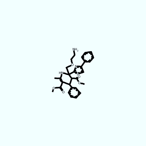 COC(=O)C1=C(C)NC(COCCN)(c2nc(-c3ccccc3)cs2)C(C(=O)OC)C1c1ccccc1